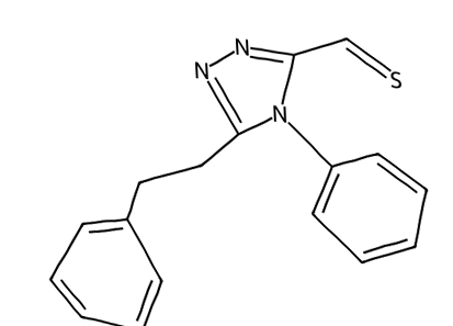 S=Cc1nnc(CCc2ccccc2)n1-c1ccccc1